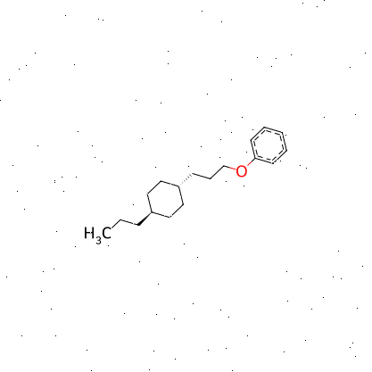 CCC[C@H]1CC[C@H](CCCOc2ccccc2)CC1